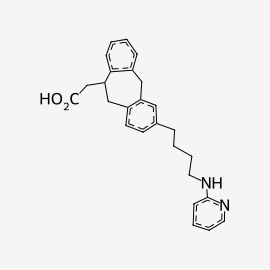 O=C(O)CC1Cc2ccc(CCCCNc3ccccn3)cc2Cc2ccccc21